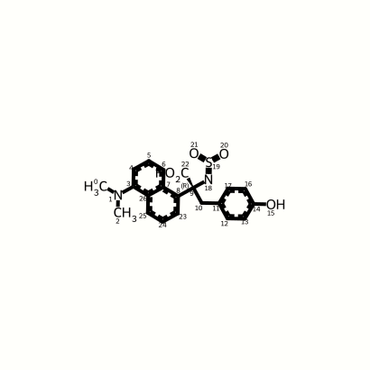 CN(C)c1cccc2c([C@@](Cc3ccc(O)cc3)(N=S(=O)=O)C(=O)O)cccc12